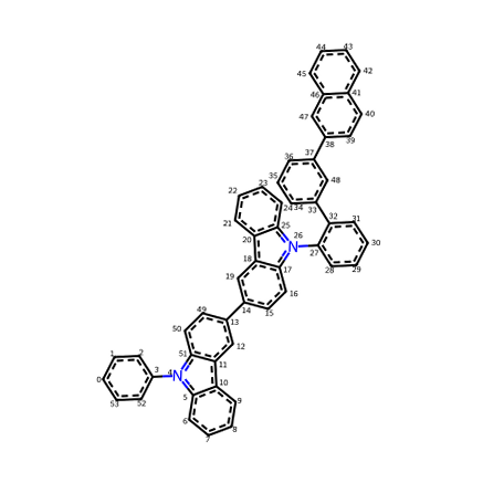 c1ccc(-n2c3ccccc3c3cc(-c4ccc5c(c4)c4ccccc4n5-c4ccccc4-c4cccc(-c5ccc6ccccc6c5)c4)ccc32)cc1